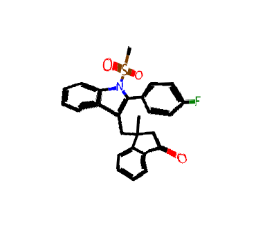 CC1(Cc2c(-c3ccc(F)cc3)n(S(C)(=O)=O)c3ccccc23)CC(=O)c2ccccc21